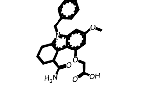 COc1cc(OCC(=O)O)c2c3c(n(Cc4ccccc4)c2c1)CCCC3C(N)=O